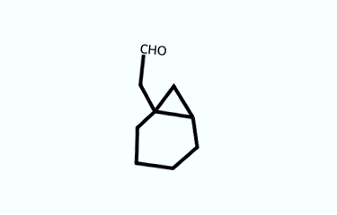 O=CCC12CCCCC1C2